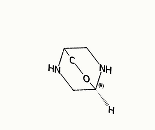 C1N[C@H]2CNC1CO2